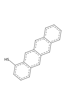 Sc1cccc2cc3cc4ccccc4cc3cc12